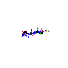 CNC(=O)c1ccccc1Nc1nc(Nc2ccc(N3CCN(C(=O)N[C@H]4CC[C@H](NCCC#Cc5cccc6c5CN(C5CCC(=O)NC5=O)C6=O)CC4)CC3)cc2)ncc1Cl